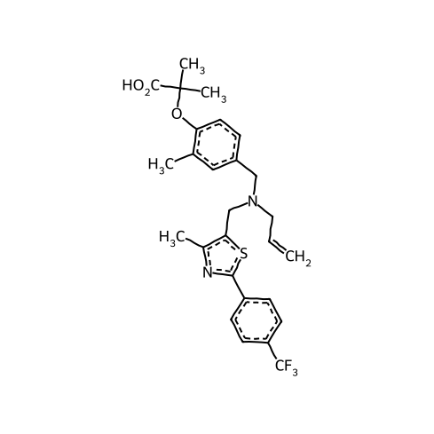 C=CCN(Cc1ccc(OC(C)(C)C(=O)O)c(C)c1)Cc1sc(-c2ccc(C(F)(F)F)cc2)nc1C